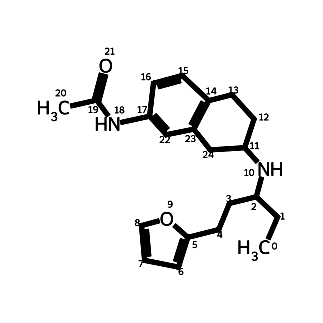 CCC(CCc1ccco1)NC1CCc2ccc(NC(C)=O)cc2C1